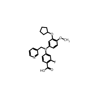 COc1ccc(N(Cc2cccnc2)c2ccc(C(=O)O)c(F)c2)cc1OC1CCCC1